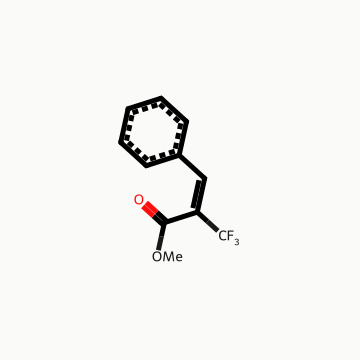 COC(=O)C(=Cc1ccccc1)C(F)(F)F